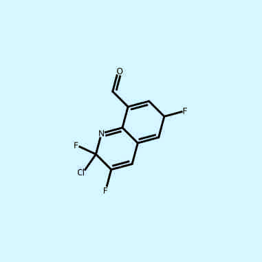 O=CC1=CC(F)C=C2C=C(F)C(F)(Cl)N=C12